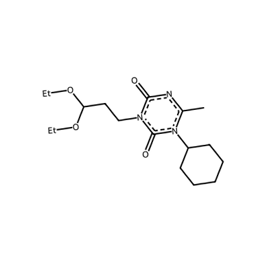 CCOC(CCn1c(=O)nc(C)n(C2CCCCC2)c1=O)OCC